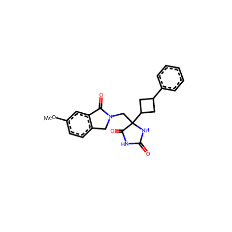 COc1ccc2c(c1)C(=O)N(CC1(C3CC(c4ccccc4)C3)NC(=O)NC1=O)C2